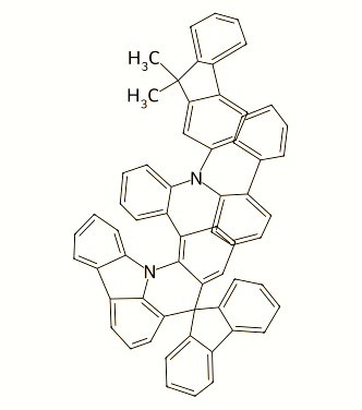 CC1(C)c2ccccc2-c2ccc(N(c3ccccc3-c3ccccc3)c3ccccc3-c3cccc4c3-n3c5ccccc5c5cccc(c53)C43c4ccccc4-c4ccccc43)cc21